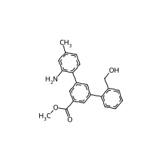 COC(=O)c1cc(-c2ccc(C)cc2N)cc(-c2ccccc2CO)c1